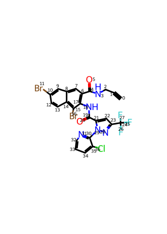 C#CCNC(=O)c1cc2cc(Br)ccc2c(Br)c1NC(=O)c1cc(C(F)(F)F)nn1-c1ncccc1Cl